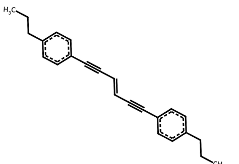 CCCc1ccc(C#C/C=C/C#Cc2ccc(CCC)cc2)cc1